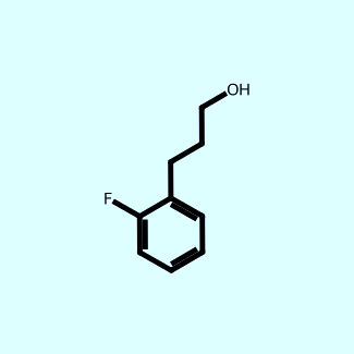 OCCCc1ccccc1F